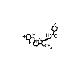 CN1CCC(C(=O)NCC#Cc2nn3c(N[C@@H]4CCN(C)C[C@@H]4F)cccc3c2CC(F)(F)F)CC1